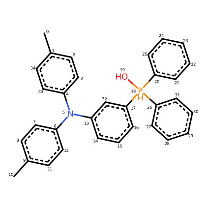 Cc1ccc(N(c2ccc(C)cc2)c2cccc([PH](O)(c3ccccc3)c3ccccc3)c2)cc1